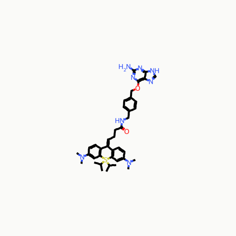 CC(C)S1(C(C)C)c2cc(N(C)C)ccc2C(=CCCC(=O)NCc2ccc(COc3nc(N)nc4[nH]cnc34)cc2)c2ccc(N(C)C)cc21